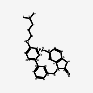 CN(C)CCCOc1cnc(-c2cccc(Cn3c(=O)sc4ccc(C(F)(F)F)cc43)c2)nc1